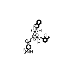 Cc1nc2c([nH]1)CCN(C(=O)CC[C@@H](COC(=O)Nc1cc3ccccc3cn1)N(C)C(=O)NCc1cccc(F)c1Cl)C2